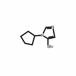 CC(C)(C)c1cncn1C1CCCC1